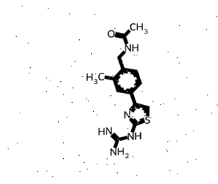 CC(=O)NCc1ccc(-c2csc(NC(=N)N)n2)cc1C